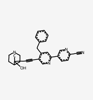 N#Cc1ccc(-c2cc(Cc3ccccc3)c(C#CC3(O)CN4CCC3CC4)cn2)cn1